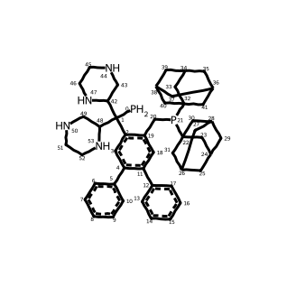 PC(c1cc(-c2ccccc2)c(-c2ccccc2)cc1CP(C12CC3CC(CC(C3)C1)C2)C12CC3CC(CC(C3)C1)C2)(C1CNCCN1)C1CNCCN1